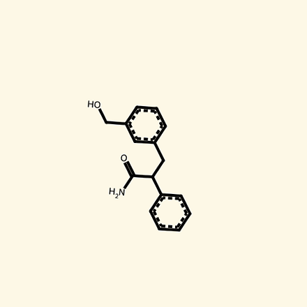 NC(=O)C(Cc1cccc(CO)c1)c1ccccc1